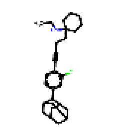 CCNC1(CCC#Cc2ccc(C3C4CC5CC(C4)CC3C5)cc2Cl)CCCCC1